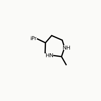 CC1NCCC(C(C)C)CN1